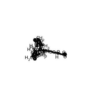 C=C1C[C@H]2[C@H](OC3CCCCO3)N(C(=O)OC(C)(C)C)c3cc(OCc4cc(COc5cc6c(cc5OC)C(=O)N5CC(=C)C[C@H]5[C@H](OC5CCCCO5)N6C(=O)OC(C)(C)C)cc(C5=CN(CCOCCOCCOCCNC(=O)CCCCCN6C(=O)C=CC6=O)NN5)c4)c(OC)cc3C(=O)N2C1